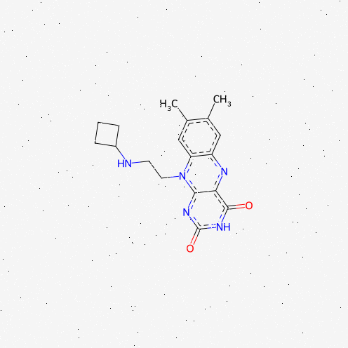 Cc1cc2nc3c(=O)[nH]c(=O)nc-3n(CCNC3CCC3)c2cc1C